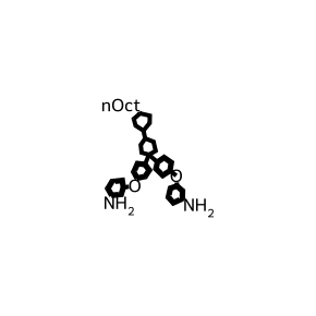 CCCCCCCCC1CCC(C2CCC(c3ccc(Oc4cccc(N)c4)cc3)(c3ccc(Oc4cccc(N)c4)cc3)CC2)CC1